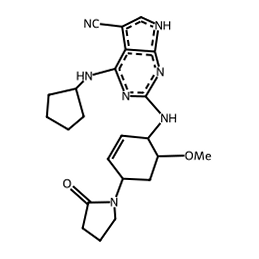 COC1CC(N2CCCC2=O)C=CC1Nc1nc(NC2CCCC2)c2c(C#N)c[nH]c2n1